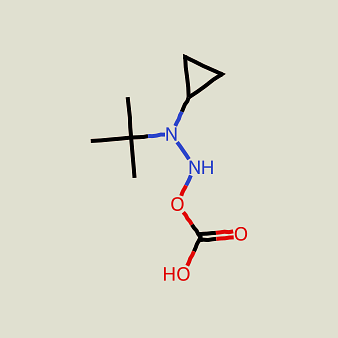 CC(C)(C)N(NOC(=O)O)C1CC1